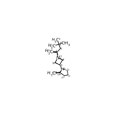 C=C(CC(C)(C)C)N1CC(N2CCCC2=C)C1